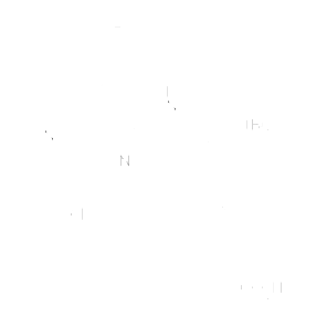 CC(C)(C)C(CSCC(=O)O)Nc1nc(Cl)ncc1F